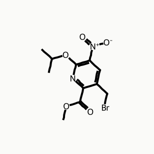 COC(=O)c1nc(OC(C)C)c([N+](=O)[O-])cc1CBr